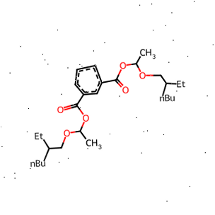 CCCCC(CC)COC(C)OC(=O)c1cccc(C(=O)OC(C)OCC(CC)CCCC)c1